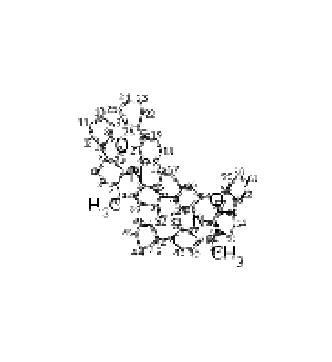 CCc1ccc2c(oc3ccccc32)c1N(c1cccc(-c2ccccc2)c1)c1ccc2ccc3c(N(c4cccc(-c5ccccc5)c4)c4c(CC)ccc5c4oc4ccccc45)ccc4ccc1c2c43